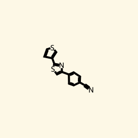 N#Cc1ccc(-c2csc(-c3ccsc3)n2)cc1